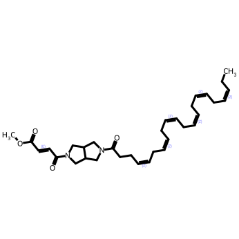 CC/C=C\C/C=C\C/C=C\C/C=C\C/C=C\C/C=C\CCC(=O)N1CC2CN(C(=O)/C=C/C(=O)OC)CC2C1